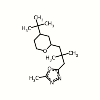 Cc1nnc(CC(C)(C)CC2CC(C(C)(C)C)CCO2)o1